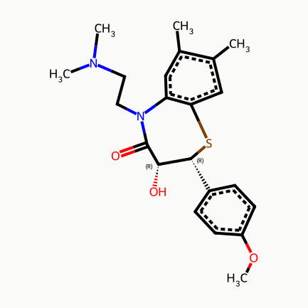 COc1ccc([C@H]2Sc3cc(C)c(C)cc3N(CCN(C)C)C(=O)[C@H]2O)cc1